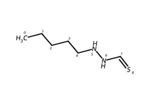 CCCCCNNC=S